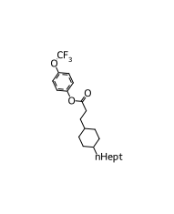 CCCCCCCC1CCC(CCC(=O)Oc2ccc(OC(F)(F)F)cc2)CC1